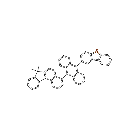 CC1(C)c2ccccc2-c2c1ccc1c(-c3c4ccccc4c(-c4ccc5sc6ccccc6c5c4)c4ccccc34)cccc21